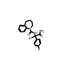 CCC(NC(=O)N1CCCCc2ccccc21)(C(N)=O)c1ccc(F)cc1